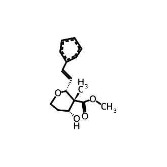 COC(=O)[C@]1(C)[C@H](O)CCO[C@@H]1/C=C/c1ccccc1